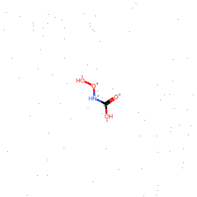 O=C(O)NOO